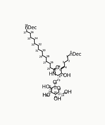 CCCCCCCCCCCCC/C=C/[C@@H](O)[C@H](CO[C@@H]1O[C@H](CO)[C@H](O)[C@H](O)[C@H]1O)NC(=O)CCCCCCCCCCCCCCCCCCCCCCC